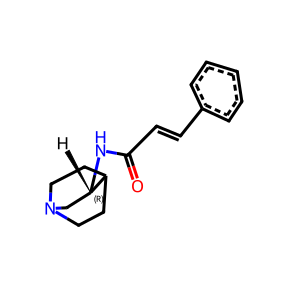 O=C(C=Cc1ccccc1)N[C@H]1CN2CCC1CC2